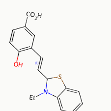 CCN1c2ccccc2SC1/C=C/c1cc(C(=O)O)ccc1O